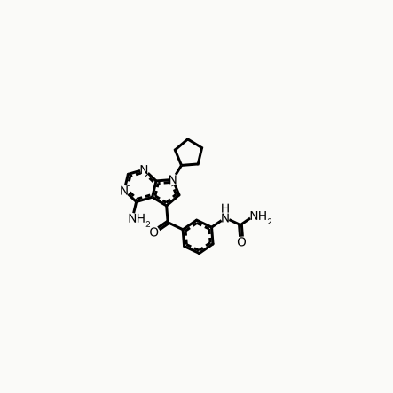 NC(=O)Nc1cccc(C(=O)c2cn(C3CCCC3)c3ncnc(N)c23)c1